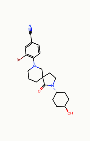 N#Cc1ccc(N2CCCC3(CCN([C@H]4CC[C@H](O)CC4)C3=O)C2)c(Br)c1